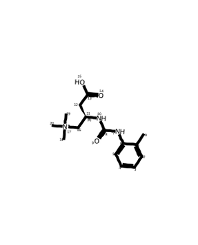 Cc1ccccc1NC(=O)N[C@H](CC(=O)O)C[N+](C)(C)C